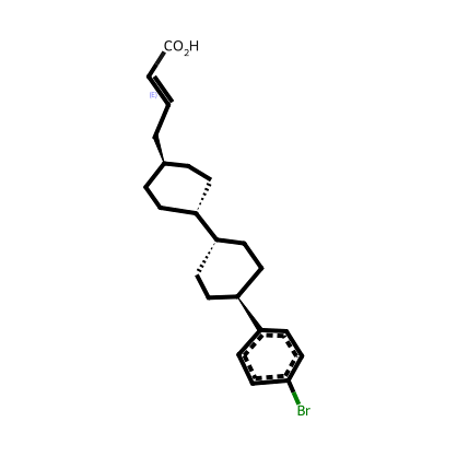 O=C(O)/C=C/C[C@H]1CC[C@H]([C@H]2CC[C@H](c3ccc(Br)cc3)CC2)CC1